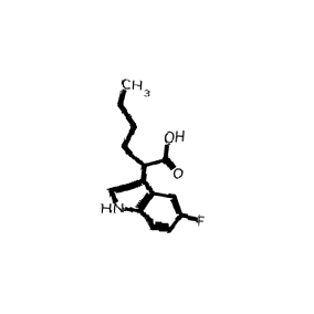 CCCCC(C(=O)O)c1c[nH]c2ccc(F)cc12